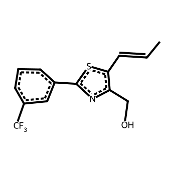 CC=Cc1sc(-c2cccc(C(F)(F)F)c2)nc1CO